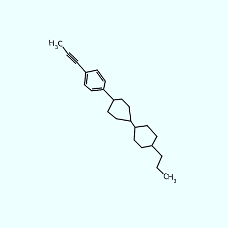 CC#Cc1ccc(C2CCC(C3CCC(CCC)CC3)CC2)cc1